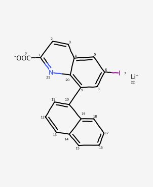 O=C([O-])c1ccc2cc(I)cc(-c3cccc4ccccc34)c2n1.[Li+]